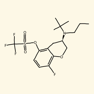 CCCN([C@H]1COc2c(F)ccc(OS(=O)(=O)C(F)(F)F)c2C1)C(C)(C)C